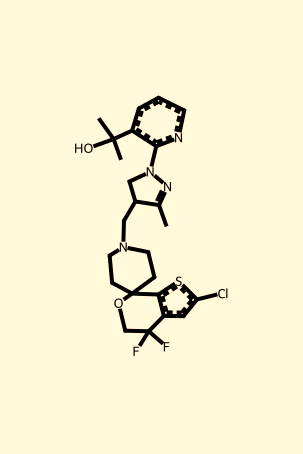 CC1=NN(c2ncccc2C(C)(C)O)CC1CN1CCC2(CC1)OCC(F)(F)c1cc(Cl)sc12